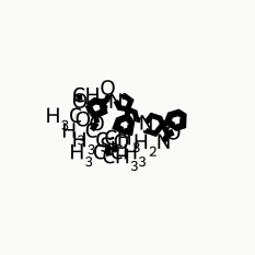 COc1cc(C(=O)N2CCC(CCN3CCC(C(N)=O)(c4ccccc4)CC3)(c3ccc(O[Si](C)(C)C(C)(C)C)cc3)C2)cc(OC)c1OC